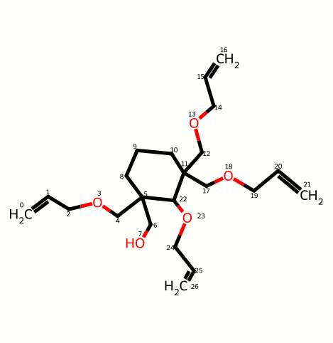 C=CCOCC1(CO)CCCC(COCC=C)(COCC=C)C1OCC=C